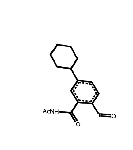 CC(=O)NC(=O)c1cc(C2CCCCC2)ccc1I=O